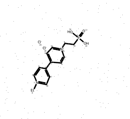 CC[n+]1ccc(-c2cc[n+](CCP(=O)(O)O)cc2)cc1.[Cl-].[Cl-]